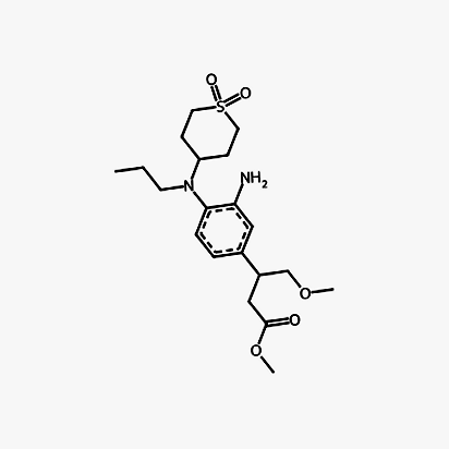 CCCN(c1ccc(C(COC)CC(=O)OC)cc1N)C1CCS(=O)(=O)CC1